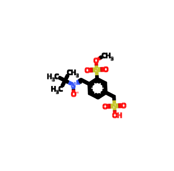 COS(=O)(=O)c1cc(CS(=O)(=O)O)ccc1C=[N+]([O-])C(C)(C)C